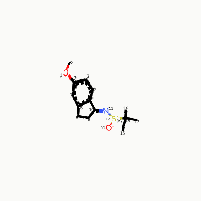 COc1ccc2c(c1)CCC2=N[S@@+]([O-])C(C)(C)C